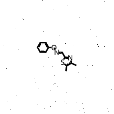 Cc1nc(C=NOc2ccccc2)sc1C